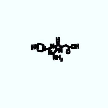 Nc1nc(N2CCNCC2)nc2[nH]c(CC(=O)O)nc12